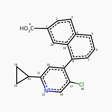 O=C(O)c1ccc2cccc(-c3cc(C4CC4)ncc3Cl)c2c1